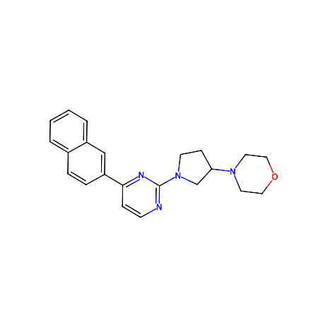 c1ccc2cc(-c3ccnc(N4CCC(N5CCOCC5)C4)n3)ccc2c1